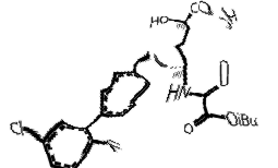 CC(C)COC(=O)C(=O)N[C@H](Cc1ccc(-c2cc(Cl)ccc2F)cc1)C[C@@H](O)C(=O)O